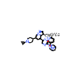 COc1ccc(CN2C3CC2CN(c2cnc(-c4cc(C5CCN(C6CC6)CC5)cn5ncc(C#N)c45)cn2)C3)cn1